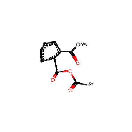 CCCC(=O)OC(=O)c1ccccc1C(=O)OC